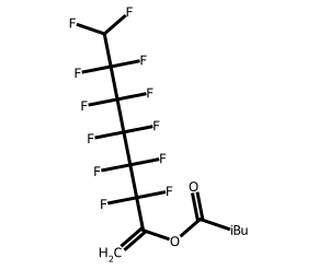 C=C(OC(=O)C(C)CC)C(F)(F)C(F)(F)C(F)(F)C(F)(F)C(F)(F)C(F)F